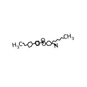 CCCCCCCC1(C#N)CCC(OC(=O)c2ccc(C3CCC(CCC)CC3)cc2)CC1